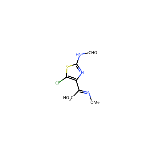 CON=C(C(=O)O)c1nc(NC=O)sc1Cl